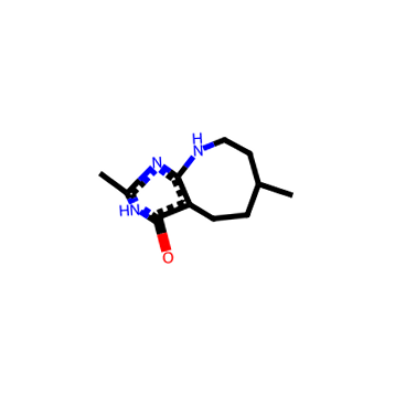 Cc1nc2c(c(=O)[nH]1)CCC(C)CCN2